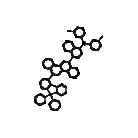 Cc1cccc(N(c2cccc(C)c2)c2ccc(-c3cc4c5ccccc5c(-c5cccc6c5-c5ccccc5C6(c5ccccc5)c5ccccc5)cc4c4ccccc34)c3ccccc23)c1